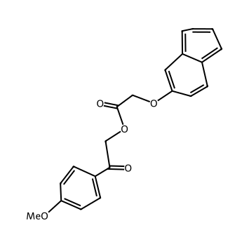 COc1ccc(C(=O)COC(=O)COc2ccc3ccccc3c2)cc1